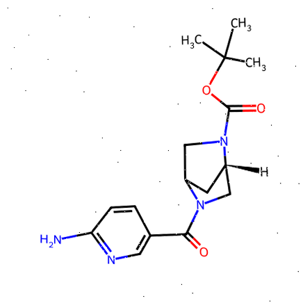 CC(C)(C)OC(=O)N1CC2C[C@H]1CN2C(=O)c1ccc(N)nc1